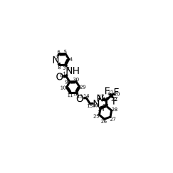 O=C(Nc1cccnc1)c1ccc(OCCn2nc(C(F)(F)F)c3c2CCCC3)cc1